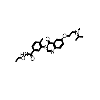 CCONC(=O)c1ccc(C)c(-n2cnc3ccc(OCCN(C)C(C)C)cc3c2=O)c1